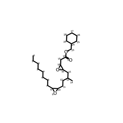 CCCCCCCCC1OC1CCC(C)CC1OC1CC(=O)OCC1CCCCC1